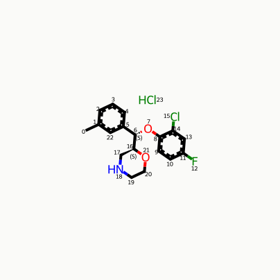 Cc1cccc([C@H](Oc2ccc(F)cc2Cl)[C@@H]2CNCCO2)c1.Cl